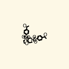 CC(=O)c1ccc(S(=O)(=O)N2CCC3(CC2)OCCN3S(=O)(=O)c2ccc(C(C)=O)cc2)cc1